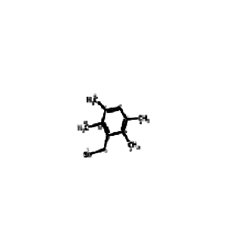 Cc1cc(C)c(C)c(C[Se])c1C